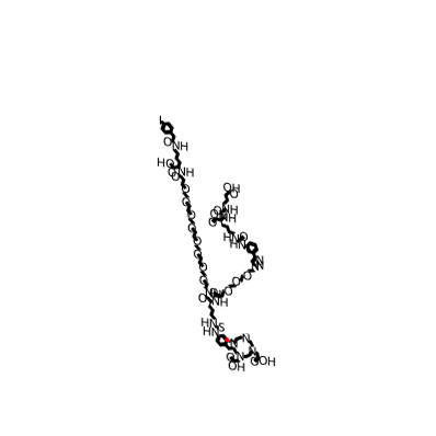 CN1CCN(CC(=O)O)CCN(CC(=O)O)CC(Cc2ccc(NC(=S)NCCCC[C@H](NC(=O)CCOCCOCCOCCn3cc(-c4cccc(NC(=O)NCCCC[C@H](NC(=O)NCCCC(=O)O)C(=O)O)c4)nn3)C(=O)NCCOCCOCCOCCOCCOCCOCCOCCOCCC(=O)NC(CCCCNC(=O)Cc3ccc(I)cc3)C(=O)O)cc2)N(C)CC1